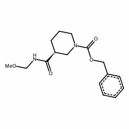 COCNC(=O)[C@H]1CCCN(C(=O)OCc2ccccc2)C1